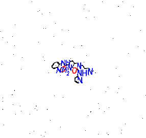 CN(C)CCCN(Cc1ccc(C(=O)Nc2ccccc2N)nc1)C(=O)NC1=NC=CC1